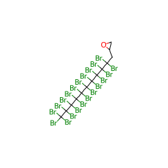 BrC(Br)(Br)C(Br)(Br)C(Br)(Br)C(Br)(Br)C(Br)(Br)C(Br)(Br)C(Br)(Br)C(Br)(Br)C(Br)(Br)C(Br)(Br)CC1CO1